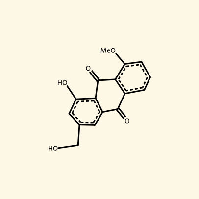 COc1cccc2c1C(=O)c1c(O)cc(CO)cc1C2=O